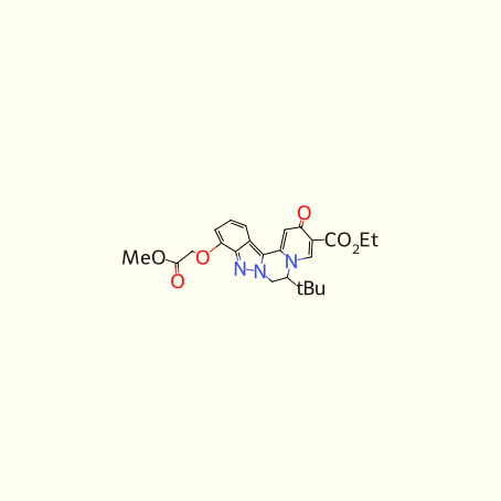 CCOC(=O)c1cn2c(cc1=O)-c1c3cccc(OCC(=O)OC)c3nn1CC2C(C)(C)C